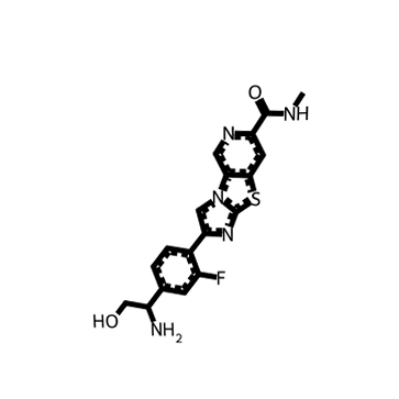 CNC(=O)c1cc2sc3nc(-c4ccc(C(N)CO)cc4F)cn3c2cn1